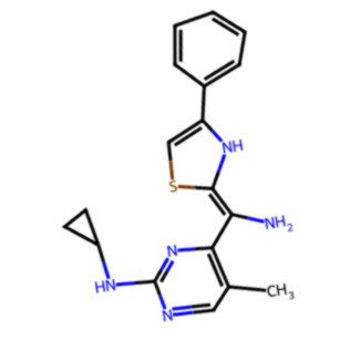 Cc1cnc(NC2CC2)nc1/C(N)=C1/NC(c2ccccc2)=CS1